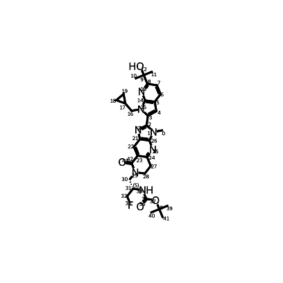 Cn1c(-c2cc3ccc(C(C)(C)O)nc3n2CC2CC2)nc2cc3c(nc21)CCN(C[C@@H](CF)NC(=O)OC(C)(C)C)C3=O